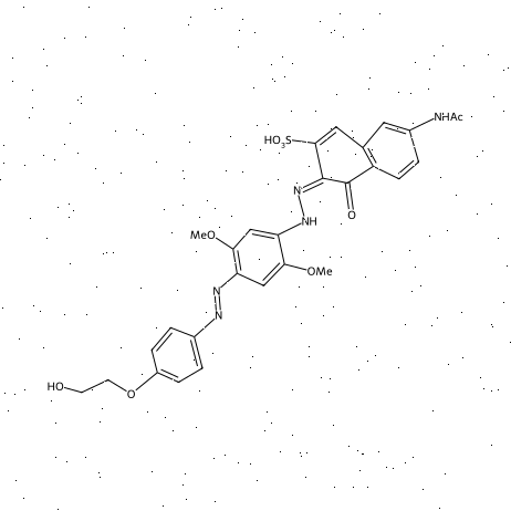 COc1cc(N/N=C2\C(=O)c3ccc(NC(C)=O)cc3C=C2S(=O)(=O)O)c(OC)cc1/N=N/c1ccc(OCCO)cc1